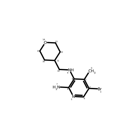 Cc1c(Br)cnc(N)c1NCC1CCOCC1